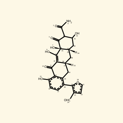 NC(=O)C1C(=O)[C@@]2(O)C(O)=C3C(=O)c4c(O)ccc(-c5occc5C=O)c4C[C@H]3C[C@H]2CC1O